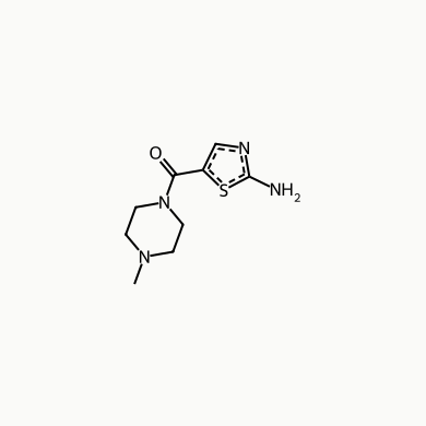 CN1CCN(C(=O)c2cnc(N)s2)CC1